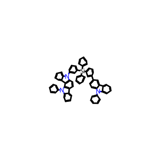 c1ccc(-n2c3ccccc3c3cc(-c4cccc([Si](c5ccccc5)(c5ccccc5)c5cccc(-n6c7ccccc7c7c6ccc6c8ccccc8n(-c8ccccc8)c67)c5)c4)ccc32)cc1